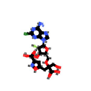 Nc1nc(Cl)nc2c1ncn2[C@@H]1O[C@H](COC(CO)(Cc2cc(C(=O)O)no2)C(=O)O)[C@@H](O)[C@@H]1F